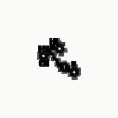 N#Cc1ccc2[nH]c(Nc3ccccc3F)c(CCCCN3CCN(c4ccccc4F)CC3)c2c1